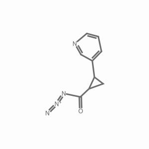 [N-]=[N+]=NC(=O)C1CC1c1cccnc1